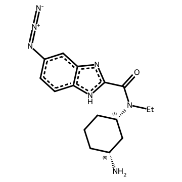 CCN(C(=O)c1nc2cc(N=[N+]=[N-])ccc2[nH]1)[C@H]1CCC[C@@H](N)C1